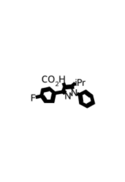 CC(C)c1c(C(=O)O)c(-c2ccc(F)cc2)nn1-c1ccccc1